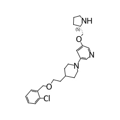 Clc1ccccc1COCCC1CCN(c2cncc(OC[C@@H]3CCCN3)c2)CC1